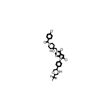 O=C(c1ccc(Cl)cc1)N1CCC(O)(Cn2cnc3c(cc(Cl)n3-c3ccc(C4COC(C(F)(F)F)CN4)cc3)c2=O)CC1